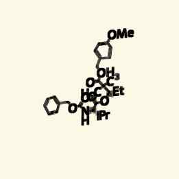 CC[C@H](OC(=O)[C@@H](NC(=O)OCc1ccccc1)C(C)C)C(C)(C)C(=O)OCc1ccc(OC)cc1